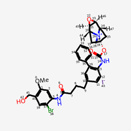 COc1cc(NC(=O)CCCc2ccc(NC(=O)O[C@@H]3C[C@@H]4[C@H]5O[C@H]5[C@H](C3)[N+]4(C)C)c(-c3ccccc3)c2)c(Br)cc1CO.[I-]